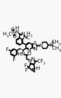 CN(C)C1CCN(c2nc3nc([C@H](Cc4cc(F)cc(F)c4)NC(=O)Cn4nc(C(F)(F)F)c5c4C(F)(F)C4C[C@H]54)c(-c4cccc5c(NS(C)(=O)=O)nn(C)c45)cc3s2)CC1